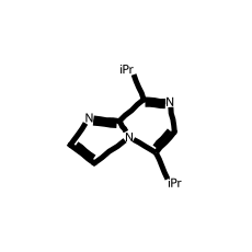 CC(C)c1ncc(C(C)C)n2ccnc12